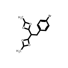 CC1OC(C(Cc2ccc(Br)cc2)C2OC(C)O2)O1